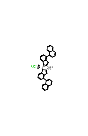 CCCCC1=Cc2c(-c3cccc4ccccc34)cccc2[CH]1[Ti+2]1([CH]2C(CCCC)=Cc3c(-c4cccc5ccccc45)cccc32)[CH2][CH2]1.[Cl-].[Cl-]